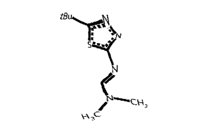 CN(C)/C=N/c1nnc(C(C)(C)C)s1